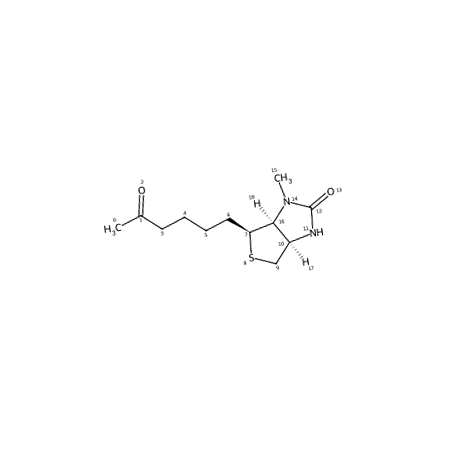 CC(=O)CCCC[C@@H]1SC[C@@H]2NC(=O)N(C)[C@@H]21